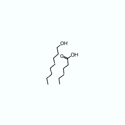 CCCCCC(=O)O.CCCCCCCCO